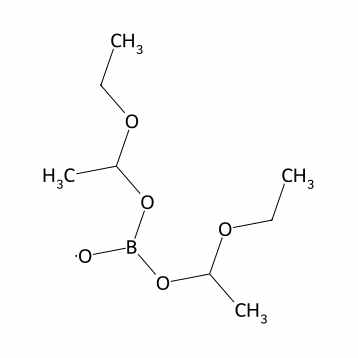 CCOC(C)OB([O])OC(C)OCC